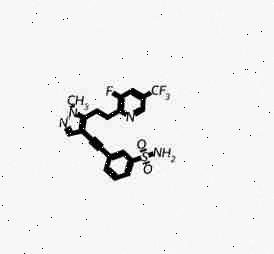 Cn1ncc(C#Cc2cccc(S(N)(=O)=O)c2)c1CCc1ncc(C(F)(F)F)cc1F